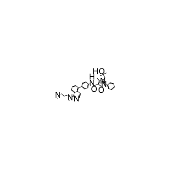 Cc1c(C(=O)Nc2ccc(-c3cccc4c(N(C)CCCN(C)C)nccc34)cc2)c(=O)n(-c2ccccc2)n1CC(C)(C)O